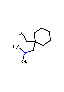 CN(C)CC1(CC(C)(C)C)CCCCC1